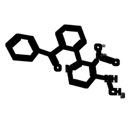 CNc1ccnc(-c2ccccc2C(=O)c2ccccc2)c1[N+](=O)[O-]